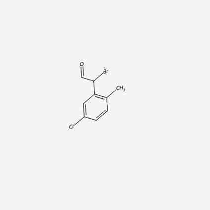 Cc1ccc(Cl)cc1C(Br)C=O